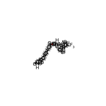 CC(C)(C)C[C@@H]1N[C@@H](C(=O)NC23CCC(C(=O)N4CCC5(CC4)CC(N4CCN(c6ccc7c(c6)CN(C6CCC(=O)NC6=O)C7=O)CC4)C5)(CC2)CC3)[C@H](c2cccc(Cl)c2F)[C@]12CNc1cc(C(F)(F)F)ncc12